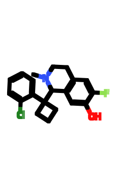 CN1CCc2cc(F)c(O)cc2C1C1(c2ccccc2Cl)CCC1